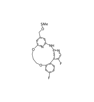 CSOCc1cc2nc(c1)OCCCOc1cc(F)ccc1-c1cc(ncc1F)N2